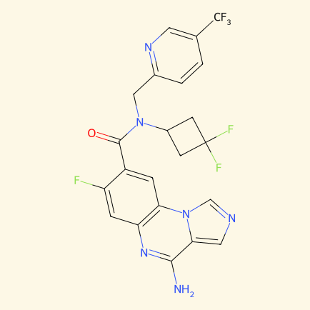 Nc1nc2cc(F)c(C(=O)N(Cc3ccc(C(F)(F)F)cn3)C3CC(F)(F)C3)cc2n2cncc12